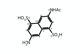 CC(=O)Nc1cc(S(=O)(=O)O)c2cc(N)cc(S(=O)(=O)O)c2c1